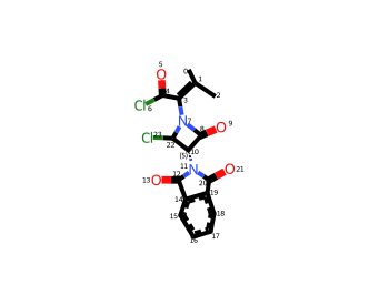 CC(C)=C(C(=O)Cl)N1C(=O)[C@H](N2C(=O)c3ccccc3C2=O)C1Cl